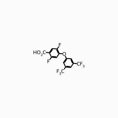 O=C(O)c1cc(F)c(Oc2cc(C(F)(F)F)cc(C(F)(F)F)c2)cc1F